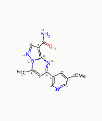 COc1cncc(-c2cc(C)n3ncc(C(N)=O)c3n2)c1